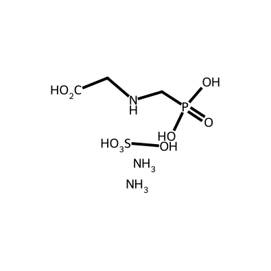 N.N.O=C(O)CNCP(=O)(O)O.O=S(=O)(O)O